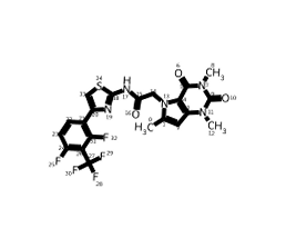 Cc1cc2c(c(=O)n(C)c(=O)n2C)n1CC(=O)Nc1nc(-c2ccc(F)c(C(F)(F)F)c2F)cs1